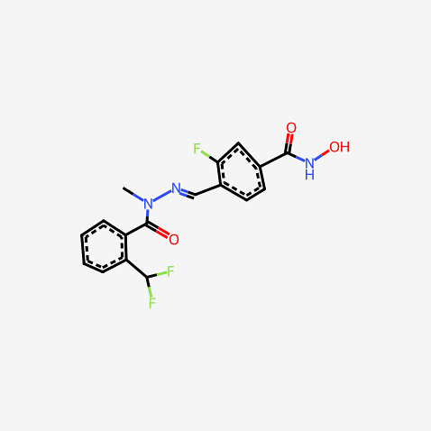 CN(N=Cc1ccc(C(=O)NO)cc1F)C(=O)c1ccccc1C(F)F